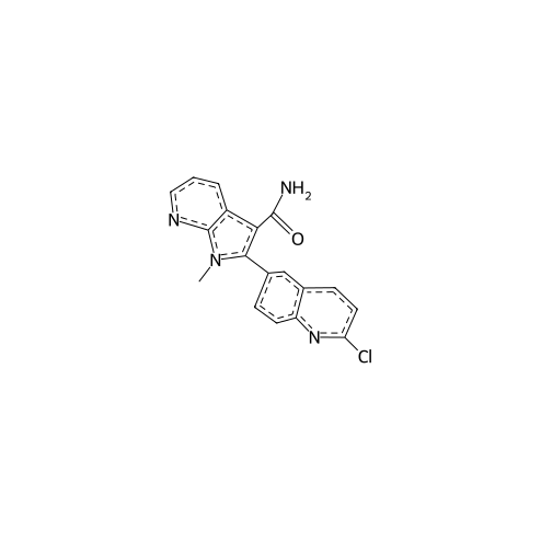 Cn1c(-c2ccc3nc(Cl)ccc3c2)c(C(N)=O)c2cccnc21